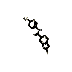 CC1CC2CCN1CC2NC(=O)c1cc2oc(F)cc2cn1